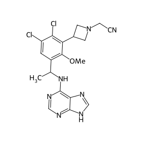 COc1c(C(C)Nc2ncnc3[nH]cnc23)cc(Cl)c(Cl)c1C1CN(CC#N)C1